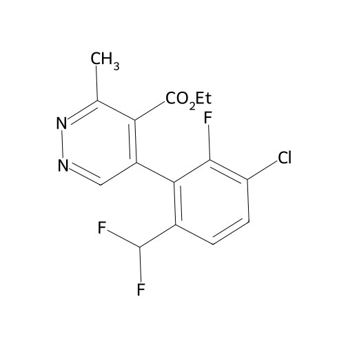 CCOC(=O)c1c(-c2c(C(F)F)ccc(Cl)c2F)cnnc1C